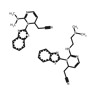 CN(C)C1=NC=CC(CC#N)N1c1nc2ccccc2s1.CN(C)CCNC1=NC=CC(CC#N)N1c1nc2ccccc2s1